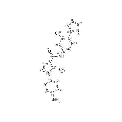 Nc1ccc(-n2ncc(C(=O)Nc3cnc(-n4nccn4)c(Cl)c3)c2C(F)(F)F)cn1